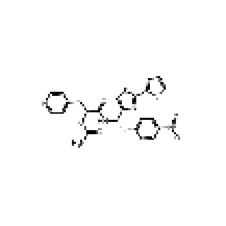 NC(=O)OC(Cc1ccncc1)C(=O)N[C@@H](Cc1ccc([N+](=O)[O-])cc1)c1csc(-c2cccs2)n1